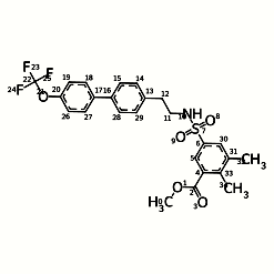 COC(=O)c1cc(S(=O)(=O)NCCc2ccc(-c3ccc(OC(F)(F)F)cc3)cc2)cc(C)c1C